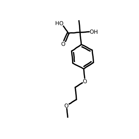 COCCOc1ccc(C(C)(O)C(=O)O)cc1